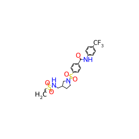 C=CS(=O)(=O)NCC1CCN(S(=O)(=O)c2ccc(C(=O)Nc3ccc(C(F)(F)F)cc3)cc2)C1